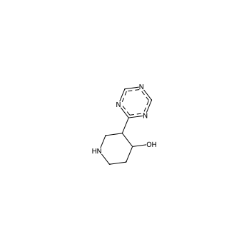 OC1CCNCC1c1ncncn1